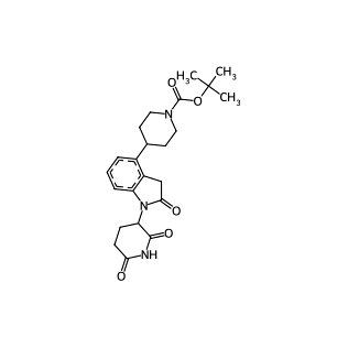 CC(C)(C)OC(=O)N1CCC(c2cccc3c2CC(=O)N3C2CCC(=O)NC2=O)CC1